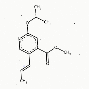 C/C=C/c1cnc(OC(C)C)cc1C(=O)OC